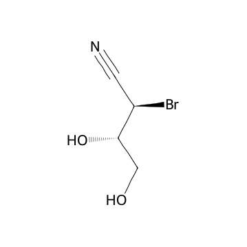 N#C[C@@H](Br)[C@@H](O)CO